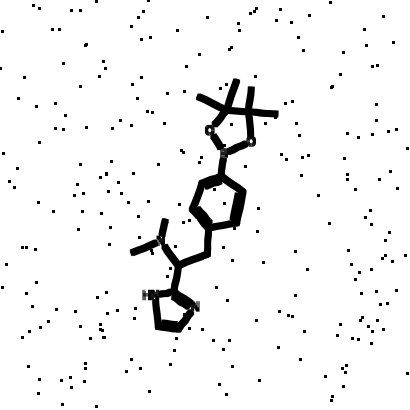 CN(C)C(Cc1ccc(B2OC(C)(C)C(C)(C)O2)cc1)c1ncc[nH]1